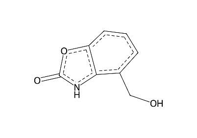 O=c1[nH]c2c(CO)cccc2o1